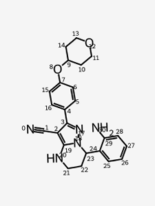 N#Cc1c(-c2ccc(OC3CCOCC3)cc2)nn2c1NCCC2c1ccccc1N